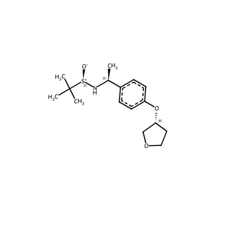 C[C@H](N[S@+]([O-])C(C)(C)C)c1ccc(O[C@@H]2CCOC2)cc1